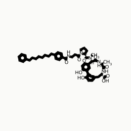 C[C@@H]1NC(=O)[C@@H](N(C)C(=O)[C@@H]2CCCN2C(=O)CCNC(=O)c2ccc(CCCCCCCCc3ccccc3)cc2)c2ccc(O)c(c2)-c2cc(ccc2O)C[C@@H](C(=O)O)NC1=O